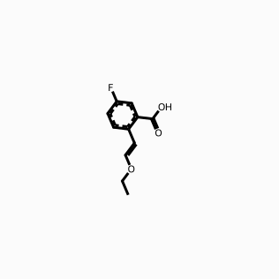 CCOC=Cc1ccc(F)cc1C(=O)O